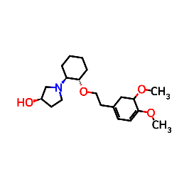 COC1=CC=C(CCO[C@H]2CCCC[C@@H]2N2CC[C@@H](O)C2)CC1OC